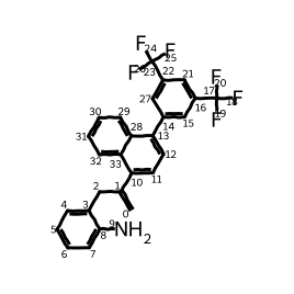 C=C(Cc1ccccc1N)c1ccc(-c2cc(C(F)(F)F)cc(C(F)(F)F)c2)c2ccccc12